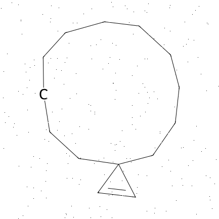 C1=CC12CCCCCCCCCCC2